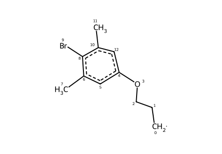 [CH2]CCOc1cc(C)c(Br)c(C)c1